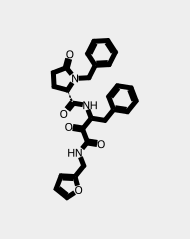 O=C(NCc1ccco1)C(=O)C(Cc1ccccc1)NC(=O)[C@@H]1CCC(=O)N1Cc1ccccc1